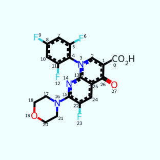 O=C(O)c1cn(-c2c(F)cc(F)cc2F)c2nc(N3CCOCC3)c(F)cc2c1=O